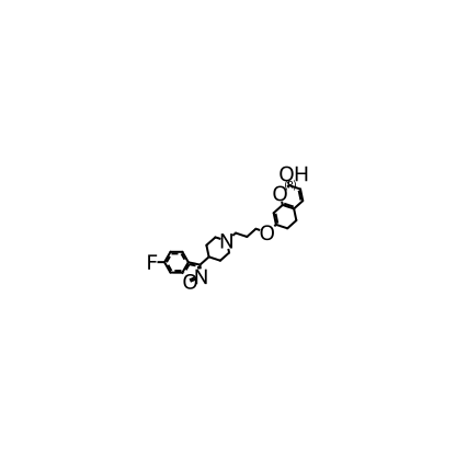 O[C@H]1C=CC2=C(C=C(OCCCN3CCC(c4noc5cc(F)ccc45)CC3)CC2)O1